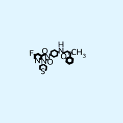 C[C@H](CC(=O)NC1CCC(n2c(=O)c3cc(F)cnc3n(C3CCSCC3)c2=O)CC1)c1ccccc1